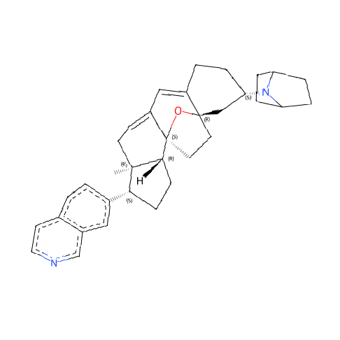 C[C@]12CC=C3C=C4CC[C@H](N5C6CCC5CC6)C[C@]45CC[C@]3(O5)[C@@H]1CC[C@@H]2c1ccc2ccncc2c1